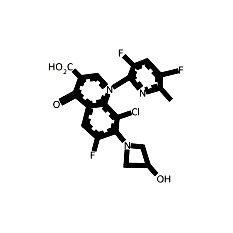 Cc1nc(-n2cc(C(=O)O)c(=O)c3cc(F)c(N4CC(O)C4)c(Cl)c32)c(F)cc1F